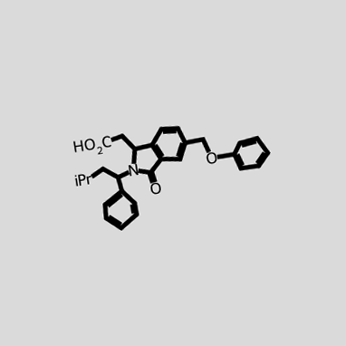 CC(C)CC(c1ccccc1)N1C(=O)c2cc(COc3ccccc3)ccc2C1CC(=O)O